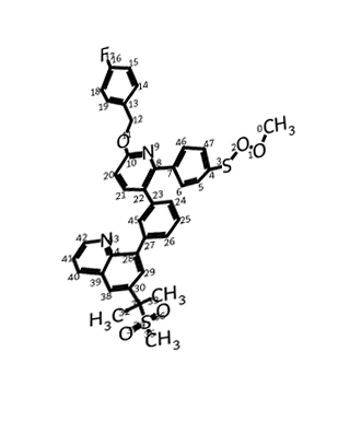 COOSc1ccc(-c2nc(OCc3ccc(F)cc3)ccc2-c2cccc(-c3cc(C(C)(C)S(C)(=O)=O)cc4cccnc34)c2)cc1